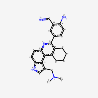 CCN(CC)Cc1c[nH]c2ccc3nc(-c4ccc(N)c(C=N)c4)c4c(c3c12)CCCC4